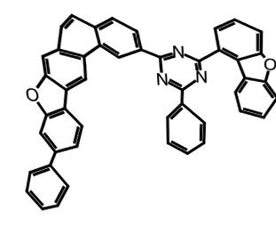 c1ccc(-c2ccc3c(c2)oc2cc4ccc5ccc(-c6nc(-c7ccccc7)nc(-c7cccc8oc9ccccc9c78)n6)cc5c4cc23)cc1